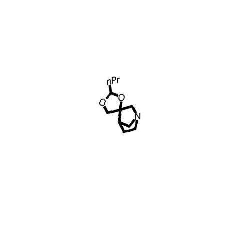 CCCC1OCC2(CN3CCC2C3)O1